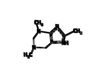 Cc1nc2c([nH]1)CN(C)CN2C